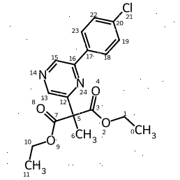 CCOC(=O)C(C)(C(=O)OCC)c1cncc(-c2ccc(Cl)cc2)n1